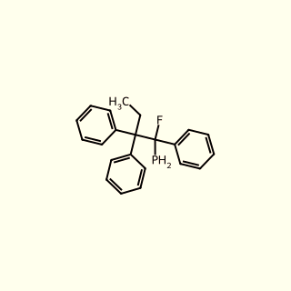 CCC(c1ccccc1)(c1ccccc1)C(F)(P)c1ccccc1